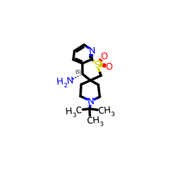 CC(C)(C)N1CCC2(CC1)CS(=O)(=O)c1ncccc1[C@H]2N